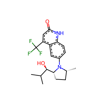 CC(C)[C@@H](O)[C@H]1CC[C@@H](C)N1c1ccc2[nH]c(=O)cc(C(F)(F)F)c2c1